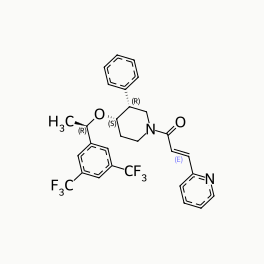 C[C@@H](O[C@H]1CCN(C(=O)/C=C/c2ccccn2)C[C@H]1c1ccccc1)c1cc(C(F)(F)F)cc(C(F)(F)F)c1